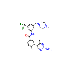 Cc1ccc(C(=O)Nc2cc(CN3CCN(C)CC3)cc(C(F)(F)F)c2)cc1-c1cnc(N)nc1C